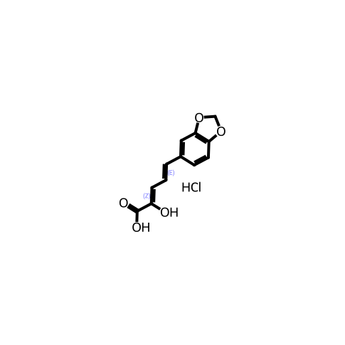 Cl.O=C(O)/C(O)=C/C=C/c1ccc2c(c1)OCO2